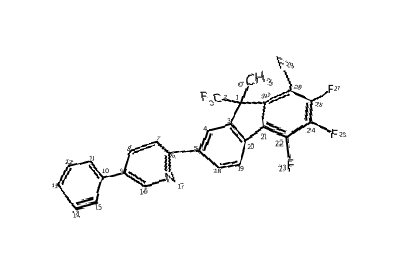 CC1(C(F)(F)F)c2cc(-c3ccc(-c4ccccc4)cn3)ccc2-c2c(F)c(F)c(F)c(F)c21